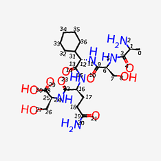 C[C@H](N)C(=O)N[C@@H](CO)C(=O)N[C@H](C(=O)N[C@@H](CCC(N)=O)C(=O)N[C@@H](CO)C(=O)O)C1CCCCC1